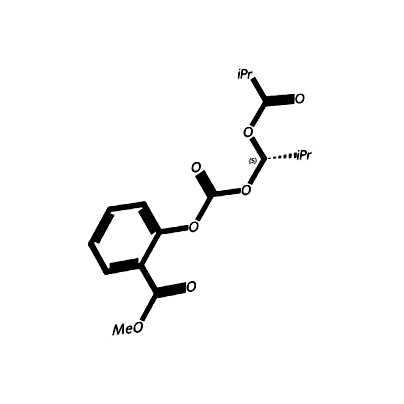 COC(=O)c1ccccc1OC(=O)O[C@H](OC(=O)C(C)C)C(C)C